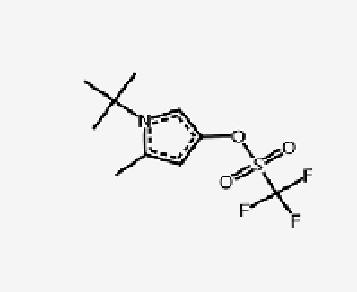 Cc1cc(OS(=O)(=O)C(F)(F)F)cn1C(C)(C)C